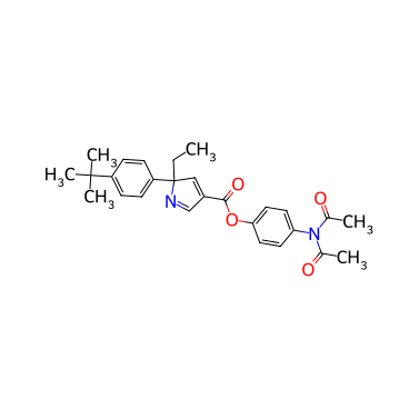 CCC1(c2ccc(C(C)(C)C)cc2)C=C(C(=O)Oc2ccc(N(C(C)=O)C(C)=O)cc2)C=N1